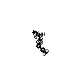 CSN(C(=N)c1cc(S(=O)(=O)c2cccc(-c3ccc(S(C)(=O)=O)cc3)c2)cs1)C(=O)OC(C)(C)C